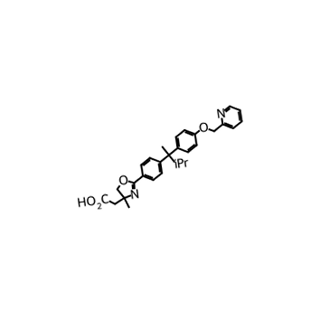 CC(C)C(C)(c1ccc(OCc2ccccn2)cc1)c1ccc(C2=NC(C)(CC(=O)O)CO2)cc1